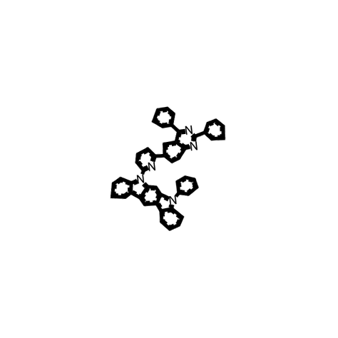 c1ccc(-c2nc(-c3ccccc3)c3cc(-c4cccc(-n5c6ccccc6c6cc7c8ccccc8n(-c8ccccc8)c7cc65)n4)ccc3n2)cc1